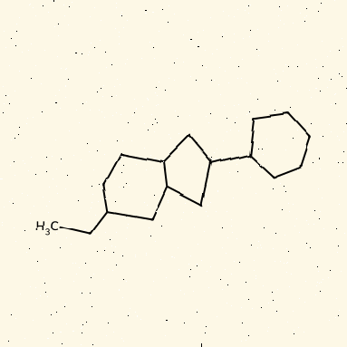 CCC1CCC2CC(C3CCCCC3)CC2C1